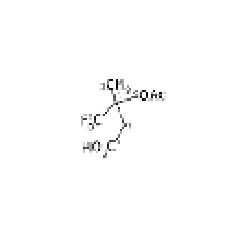 CC(=O)OC(C)(CC(=O)O)C(F)(F)F